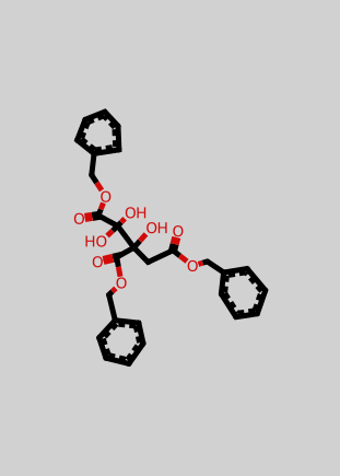 O=C(CC(O)(C(=O)OCc1ccccc1)C(O)(O)C(=O)OCc1ccccc1)OCc1ccccc1